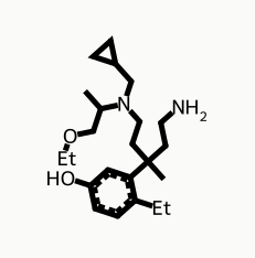 CCOCC(C)N(CCC(C)(CCN)c1cc(O)ccc1CC)CC1CC1